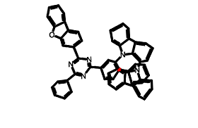 c1ccc(-c2nc(-c3ccc(-c4ccccc4)c(-n4c5ccccc5c5cccc(-n6c7ccccc7c7ccccc76)c54)c3)nc(-c3ccc4c(c3)oc3ccccc34)n2)cc1